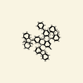 Cc1cc2c3c(c1)N(c1cccc4oc5ccccc5c14)c1ccc(-c4ccccc4)cc1B3c1ccc(N3c4ccccc4C4(C)CCCCC34C)cc1N2c1cccc2c1sc1ccccc12